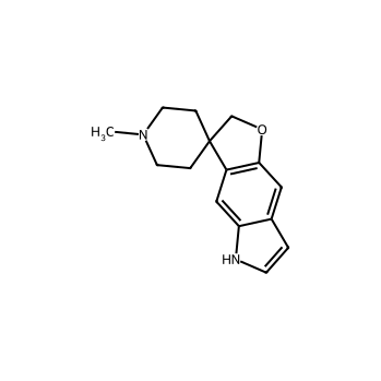 CN1CCC2(CC1)COc1cc3cc[nH]c3cc12